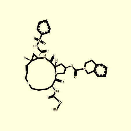 CC(C)(C)OC(=O)N[C@H]1CCCCC/C=C/[C@@H]2C[C@@]2(C(=O)NS(=O)(=O)c2ccccc2)NC(=O)[C@@H]2C[C@@H](OC(=O)N3CCc4ccccc4C3)CN2C1=O